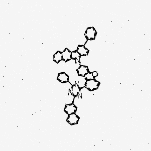 c1ccc(-c2ccc3c(c2)c2cc4ccccc4cc2n3-c2ccc3c(c2)oc2cccc(-c4nc(-c5ccccc5)nc(-c5ccc6ccccc6c5)n4)c23)cc1